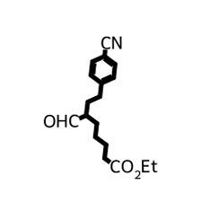 CCOC(=O)CCCCC(C=O)CCc1ccc(C#N)cc1